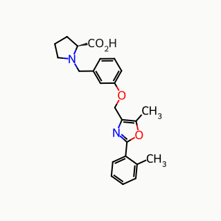 Cc1ccccc1-c1nc(COc2cccc(CN3CCC[C@H]3C(=O)O)c2)c(C)o1